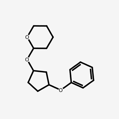 c1ccc(OC2CCC(OC3CCCCO3)C2)cc1